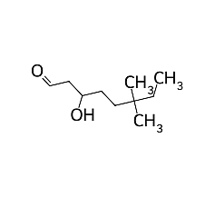 CCC(C)(C)CCC(O)CC=O